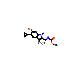 CCOC(=O)c1c(CNC(=O)OC(C)(C)C)n(C)c2cc(Br)c(C3CC3)cc12